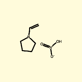 C=CN1CCCC1.O=[N+]([O-])O